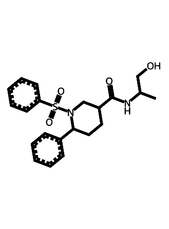 CC(CO)NC(=O)C1CCC(c2ccccc2)N(S(=O)(=O)c2ccccc2)C1